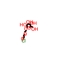 OCC1O[C@H](OCCOCCOCl)C(O)[C@@H](O)[C@@H]1O